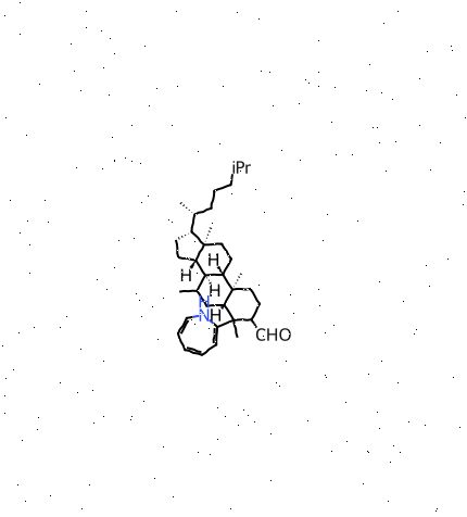 CC(C)CCC[C@@H](C)[C@H]1CC[C@H]2[C@@H]3C(C)C[C@H]4C(C)(C5=CC=CC=CN5)C(C=O)CC[C@]4(C)[C@H]3CC[C@]12C